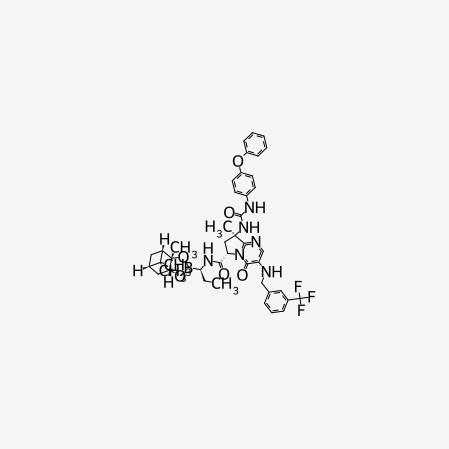 CC[C@H](NC(=O)[C@@H]1C[C@@](C)(NC(=O)Nc2ccc(Oc3ccccc3)cc2)c2ncc(NCc3cccc(C(F)(F)F)c3)c(=O)n21)B1O[C@@H]2C[C@@H]3C[C@@H](C3(C)C)[C@]2(C)O1